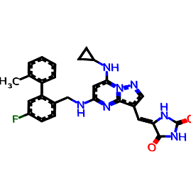 Cc1ccccc1-c1cc(F)ccc1CNc1cc(NC2CC2)n2ncc(/C=C3\NC(=O)NC3=O)c2n1